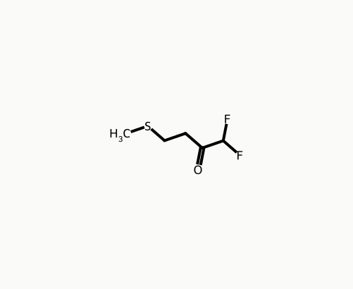 CSCCC(=O)C(F)F